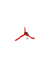 CCCCCCCCCCCCCCCCCCCC[N+](C)(CCCCCCCCCCCC)CCOCC(=O)CCCCCCCCCCCCCCCCCC.[I-]